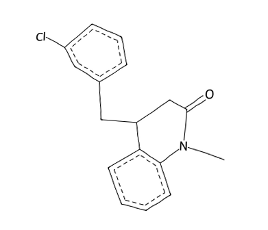 CN1C(=O)CC(Cc2cccc(Cl)c2)c2ccccc21